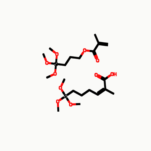 C=C(C)C(=O)OCCC[Si](OC)(OC)OC.CO[Si](CCCC=C(C)C(=O)O)(OC)OC